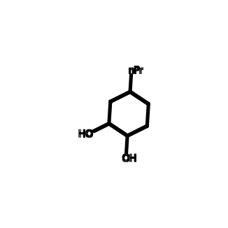 CCCC1CCC(O)C(O)C1